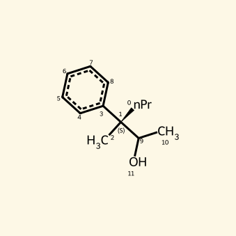 CCC[C@@](C)(c1ccccc1)C(C)O